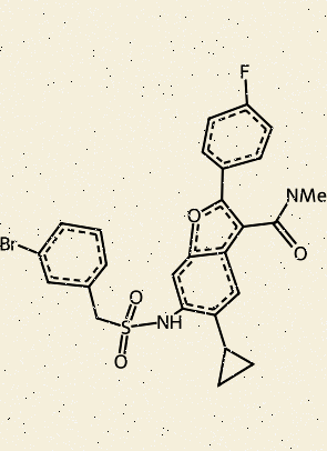 CNC(=O)c1c(-c2ccc(F)cc2)oc2cc(NS(=O)(=O)Cc3cccc(Br)c3)c(C3CC3)cc12